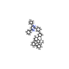 C1=CC2=C(CC1)c1c(-c3cccc(-c4cccc(-c5nc(-c6ccccc6)cc(-c6ccccc6)n5)c4)c3)cccc1C21c2ccccc2-c2ccccc21